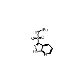 CC(C)(C)NS(=O)(=O)c1n[nH]c2ncccc12